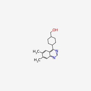 Cc1cc2ncnc(C3CCC(CO)CC3)c2cc1C